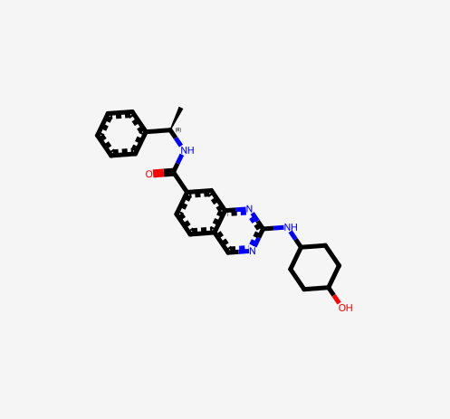 C[C@@H](NC(=O)c1ccc2cnc(NC3CCC(O)CC3)nc2c1)c1ccccc1